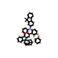 CC1(C)c2ccccc2-c2ccc(N(c3ccccc3)c3ccc4c(c3-c3ccc5c(c3)C3(c6ccccc6-5)C5CC6CC(C5)CC3C6)Sc3ccccc3O4)cc21